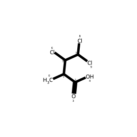 CC(C(=O)O)C(Cl)C(Cl)Cl